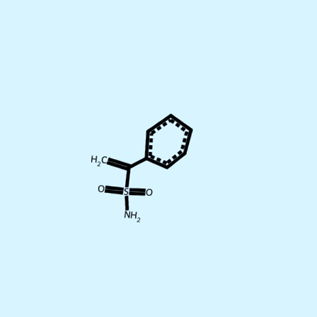 C=C(c1ccccc1)S(N)(=O)=O